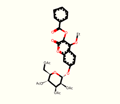 CCOc1c(OC(=O)c2ccccc2)c(=O)oc2cc(O[C@H]3O[C@H](COC(C)=O)[C@@H](OC(C)=O)[C@H](OC(C)=O)[C@@H]3OC(C)=O)ccc12